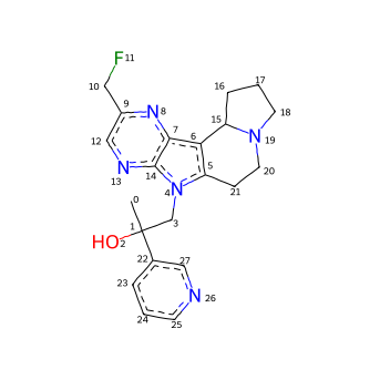 CC(O)(Cn1c2c(c3nc(CF)cnc31)C1CCCN1CC2)c1cccnc1